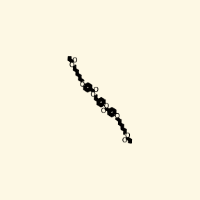 C=CC(=O)OCCCCCCCOc1ccc(C(=O)OCCc2ccc(OC(=O)c3ccc(OCCCCCCCOC(=O)C=C)cc3)cc2)cc1